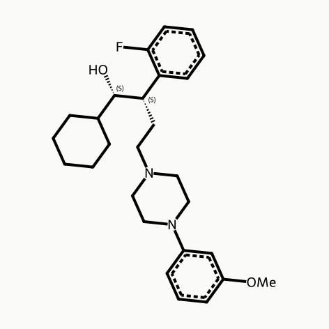 COc1cccc(N2CCN(CC[C@@H](c3ccccc3F)[C@@H](O)C3CCCCC3)CC2)c1